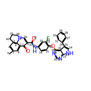 Cc1cc2c3c(c1)c(=O)c(C(=O)Nc1ccc(Oc4ncnc5[nH]cc(-c6ccccc6)c45)c(F)c1)cn3CCC2